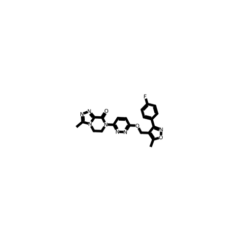 Cc1onc(-c2ccc(F)cc2)c1COc1ccc(N2CCn3c(C)nnc3C2=O)nn1